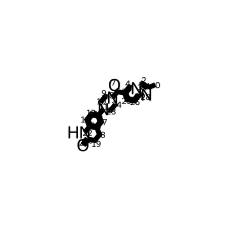 Cc1cn2cc(C(=O)N3CCN(c4ccc5c(c4)CCC(=O)N5)CC3)ccc2n1